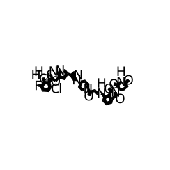 CC(Oc1cc(-c2cnn(C3CCN(C(=O)CCNc4cccc5c4C(=O)N(C4CCC(=O)NC4=O)C5=O)CC3)c2)cnc1N)c1c(Cl)ccc(F)c1Cl